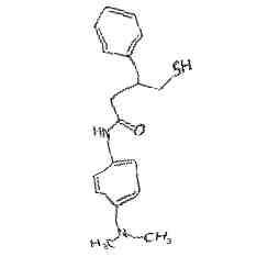 CN(C)c1ccc(NC(=O)CC(CS)c2ccccc2)cc1